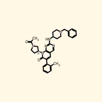 CC(=O)N1CC[C@H](n2c(=O)c(-c3ccccc3C)cc3cnc(NC4CCN(Cc5ccccc5)CC4)nc32)C1